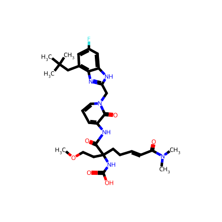 COCCC(CC/C=C/C(=O)N(C)C)(NC(=O)O)C(=O)Nc1cccn(Cc2nc3c(CC(C)(C)C)cc(F)cc3[nH]2)c1=O